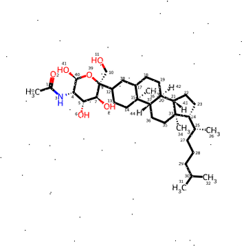 CC(=O)N[C@H]1[C@@H](O)[C@H](O)[C@](CO)(C2CC[C@@]3(C)C(CC[C@H]4[C@@H]5CC[C@H]([C@H](C)CCCC(C)C)[C@@]5(C)CC[C@@H]43)C2)O[C@@H]1O